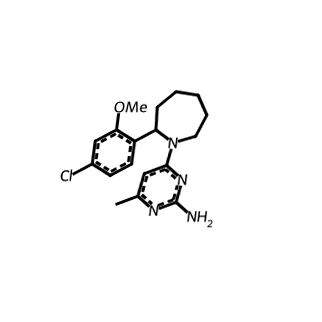 COc1cc(Cl)ccc1C1CCCCCN1c1cc(C)nc(N)n1